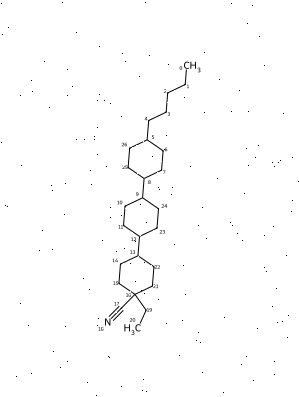 CCCCCC1CCC(C2CCC(C3CCC(C#N)(CC)CC3)CC2)CC1